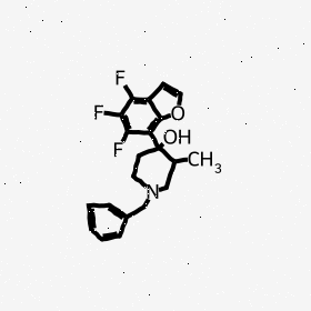 CC1CN(Cc2ccccc2)CCC1(O)c1c(F)c(F)c(F)c2ccoc12